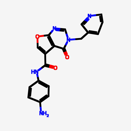 Nc1ccc(NC(=O)c2coc3ncn(Cc4cccnc4)c(=O)c23)cc1